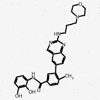 Cc1ccc(C(=O)Nc2cccc(O)c2O)cc1-c1ccc2nc(NCCCN3CCOCC3)ncc2c1